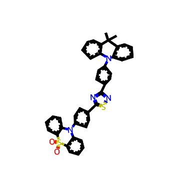 CC1(C)c2ccccc2N(c2ccc(-c3nsc(-c4ccc(N5c6ccccc6S(=O)(=O)c6ccccc65)cc4)n3)cc2)c2ccccc21